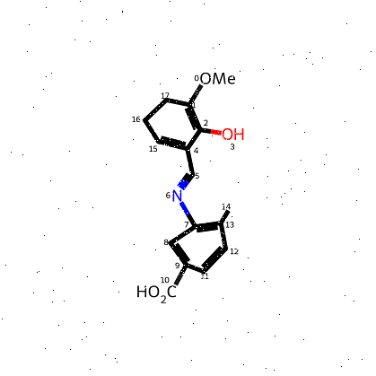 COC1=C(O)C(/C=N/c2cc(C(=O)O)ccc2C)=CCC1